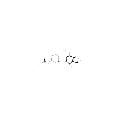 CCC(=O)NC1CCCC(Oc2cc(C)c3[nH]ncc3c2C)C1